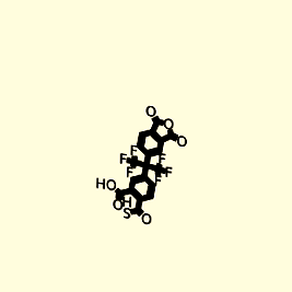 O=C(O)c1cc(C(c2ccc3c(c2)C(=O)OC3=O)(C(F)(F)F)C(F)(F)F)ccc1C(=O)S